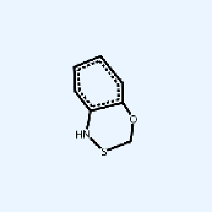 c1ccc2c(c1)NSCO2